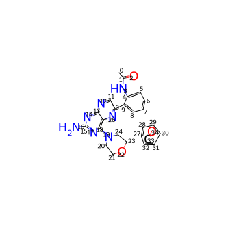 CC(=O)Nc1ccccc1-c1cnc2nc(N)nc(N3CCOCC3)c2n1.c1cc2ccc1CO2